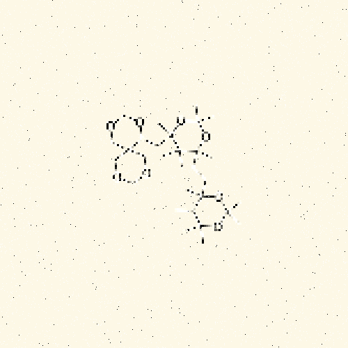 CC1C(C)(C)OC(C)(C)OC1(C)CCC1(C)OC(C)(C)OC(C)(CC2OCOCC23COCOC3)C1(C)C